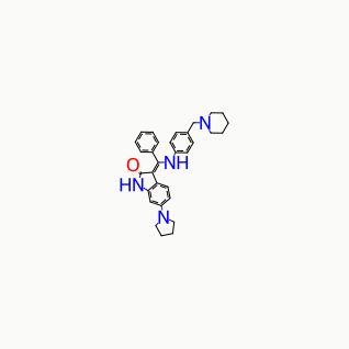 O=C1Nc2cc(N3CCCC3)ccc2C1=C(Nc1ccc(CN2CCCCC2)cc1)c1ccccc1